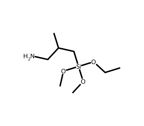 CCO[Si](CC(C)CN)(OC)OC